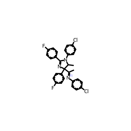 C/C(=N\c1ccc(Cl)cc1)C1(c2ccc(F)cc2)N=C(c2ccc(F)cc2)N(c2ccc(Cl)cc2)C1C